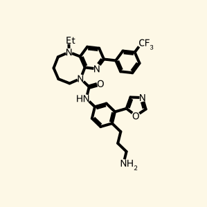 CCN1CCCCN(C(=O)Nc2ccc(CCCN)c(-c3cnco3)c2)c2nc(-c3cccc(C(F)(F)F)c3)ccc21